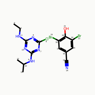 CCNc1nc(Cl)nc(NC(C)C)n1.N#Cc1cc(Br)c(O)c(Br)c1